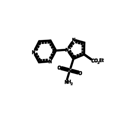 CCOC(=O)c1cnn(-c2ccncn2)c1S(N)(=O)=O